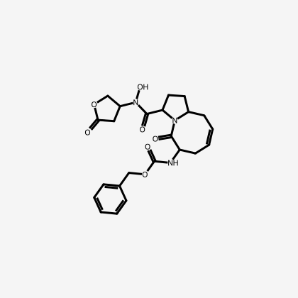 O=C1CC(N(O)C(=O)C2CCC3CC=CCC(NC(=O)OCc4ccccc4)C(=O)N32)CO1